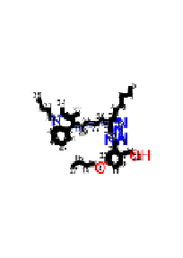 CCCCCc1nn2nc(-c3cc(OCCCC)ccc3CO)nc2\c1=C/C=C/C=C1\C(C)=C(C)N(CCCC)c2ccccc21